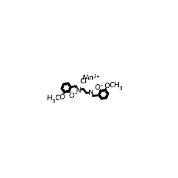 COc1cccc(C=NCCN=Cc2cccc(OC)c2[O-])c1[O-].[Cl-].[Mn+2]